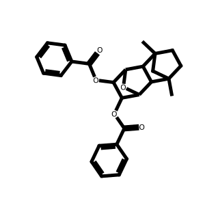 CC12CCC(C)(C1)C1C3OC(C(OC(=O)c4ccccc4)C3OC(=O)c3ccccc3)C12